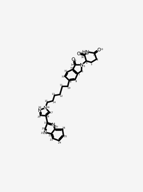 O=C1CCC(N2Cc3cc(CCCCCCn4cc(-c5cnc6ccccc6n5)cn4)ccc3C2=O)C(=O)N1